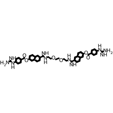 N=C(N)Nc1ccc(C(=O)Oc2ccc3cc(C(=N)NCCOCCOCCNC(=N)c4ccc5cc(OC(=O)c6ccc(NC(=N)N)cc6)ccc5c4)ccc3c2)cc1